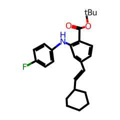 CC(C)(C)OC(=O)c1ccc(/C=C/C2CCCCC2)cc1Nc1ccc(F)cc1